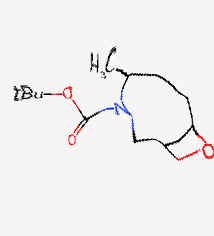 CC1CCC2OC2CN1C(=O)OC(C)(C)C